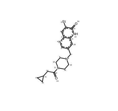 CCc1cc2ncc(CN3CCN(C(=O)CC4CC4)CC3)cc2[nH]c1=O